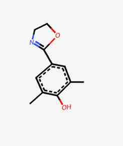 Cc1cc(C2=NCCO2)cc(C)c1O